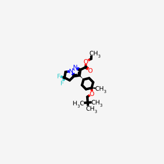 CCOC(=O)c1nn2c(c1[C@H]1CC[C@@](C)(OCC(C)(C)C)CC1)CC(F)(F)C2